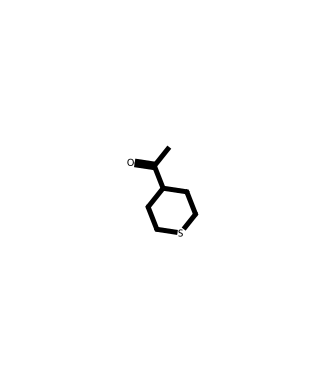 CC(=O)C1CCSCC1